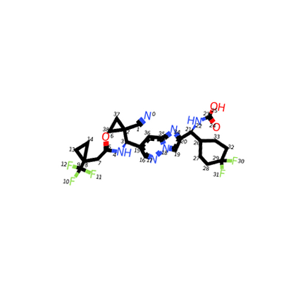 N#CC1([C@H](NC(=O)CC2(C(F)(F)F)CC2)c2cnn3cc([C@@H](NC(=O)O)C4CCC(F)(F)CC4)nc3c2)CC1